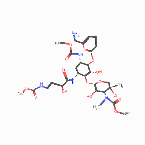 CN(C(=O)OC(C)(C)C)[C@@H]1[C@@H](O)[C@@H](O[C@@H]2[C@@H](O)[C@H](O[C@@H]3CCC=C(CN)O3)[C@@H](NC(=O)OC(C)(C)C)C[C@H]2NC(=O)[C@@H](O)CCNC(=O)OC(C)(C)C)OC[C@]1(C)O